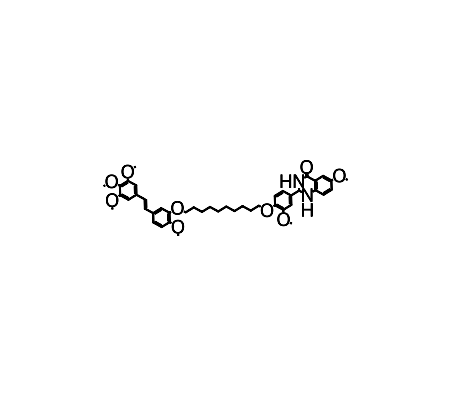 COc1ccc2c(c1)C(=O)NC(c1ccc(OCCCCCCCCCCOc3cc(C=Cc4cc(OC)c(OC)c(OC)c4)ccc3OC)c(OC)c1)N2